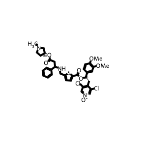 COc1ccc([C@H](Cc2c(Cl)c[n+]([O-])cc2Cl)OC(=O)c2ccc(CNC(CC(=O)O[C@@H]3CCN(C)C3)c3ccccc3)s2)cc1OC